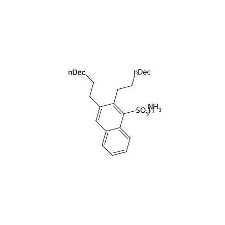 CCCCCCCCCCCCc1cc2ccccc2c(S(=O)(=O)O)c1CCCCCCCCCCCC.N